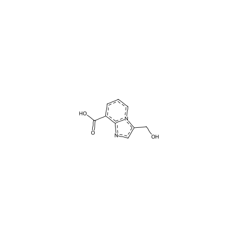 O=C(O)c1cccn2c(CO)cnc12